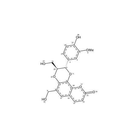 COc1cc([C@@H]2Oc3c(c(CO)cc4ccc(=O)oc34)O[C@H]2CO)ccc1O